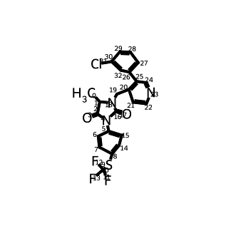 CC1C(=O)N(c2ccc(SC(F)(F)F)cc2)C(=O)N1Cc1ccncc1-c1cccc(Cl)c1